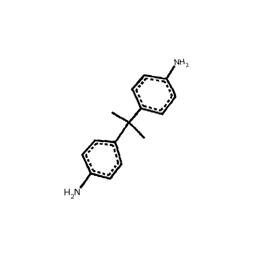 CC(C)(c1ccc(N)cc1)c1ccc(N)cc1